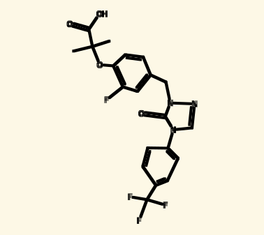 CC(C)(Oc1ccc(Cn2ncn(-c3ccc(C(F)(F)F)cc3)c2=O)cc1F)C(=O)O